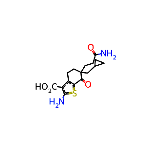 NC(=O)CCC1(CC2CC2)CCc2c(sc(N)c2C(=O)O)C1=O